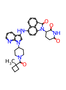 CC1(C(=O)N2CCC(n3cc(Nc4ccc5c6c(cccc46)C(=O)N5C4CCC(=O)NC4=O)c4cccnc43)CC2)CCC1